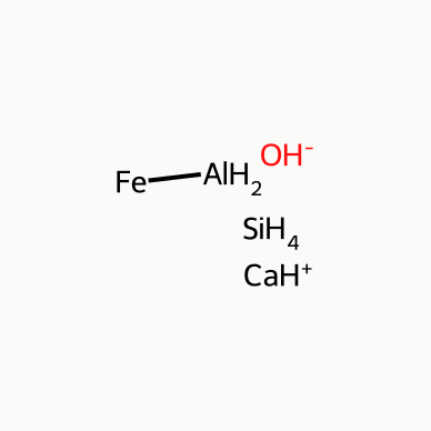 [AlH2][Fe].[CaH+].[OH-].[SiH4]